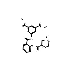 COC(=O)c1cc(NC(=O)c2ccccc2OC(=O)C2CCCN(Cl)C2)cc(C(=O)OC)c1